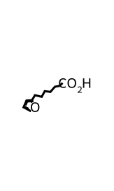 O=C(O)CCCCCCc1ccco1